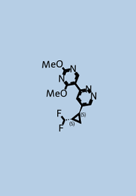 COc1ncc(-c2cc([C@H]3C[C@@H]3C(F)F)cnn2)c(OC)n1